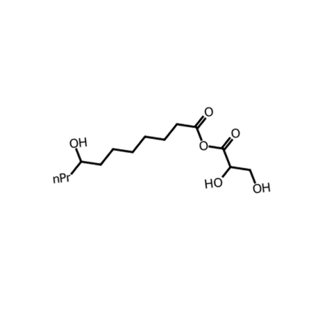 CCCC(O)CCCCCCC(=O)OC(=O)C(O)CO